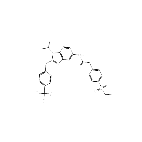 CCS(=O)(=O)c1ccc(CC(=O)Nc2ccc3c(c2)nc(Cc2ccc(C(F)(F)F)cc2)n3C(C)C)cc1